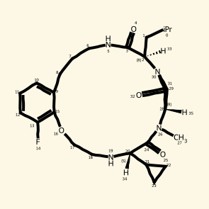 CC(C)C[C@@H]1C(=O)NCCCc2cccc(F)c2OCCN[C@@H](C2CC2)C(=O)N(C)[C@@H]2CN1C2=O